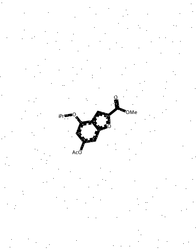 COC(=O)c1cc2c(OC(C)C)cc(OC(C)=O)cc2o1